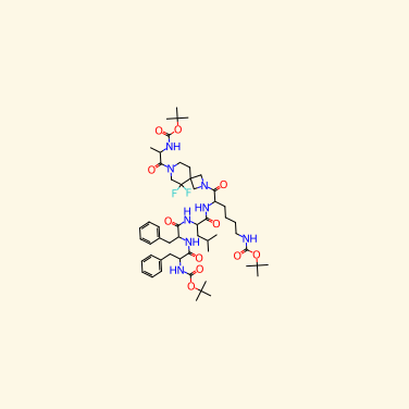 CC(C)CC(NC(=O)C(Cc1ccccc1)NC(=O)C(Cc1ccccc1)NC(=O)OC(C)(C)C)C(=O)NC(CCCCNC(=O)OC(C)(C)C)C(=O)N1CC2(CCN(C(=O)C(C)NC(=O)OC(C)(C)C)CC2(F)F)C1